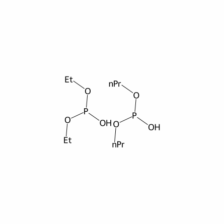 CCCOP(O)OCCC.CCOP(O)OCC